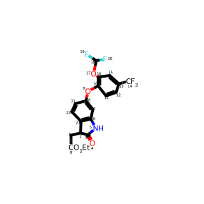 CCOC(=O)CC1C(=O)Nc2cc(Oc3ccc(C(F)(F)F)cc3OC(F)F)ccc21